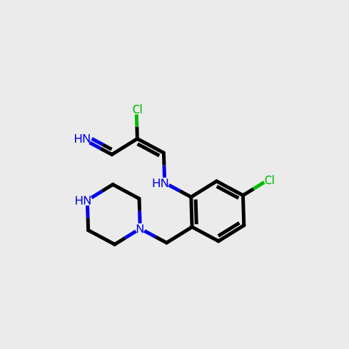 N=C/C(Cl)=C\Nc1cc(Cl)ccc1CN1CCNCC1